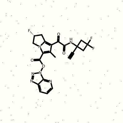 C#CC1(NC(=O)C(=O)c2c(C)c(C(=O)On3nnc4cccnc43)n3c2C[C@@H](F)C3)CC(F)(F)C1